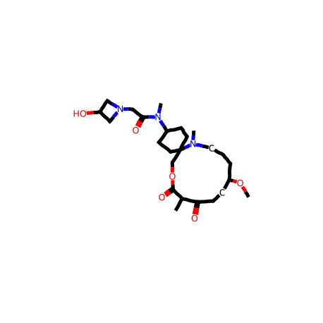 COC1CCCN(C)C2(CCC(N(C)C(=O)CN3CC(O)C3)CC2)COC(=O)C(C)C(=O)CC1